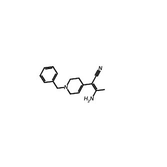 CC(N)=C(C#N)C1=CCN(Cc2ccccc2)CC1